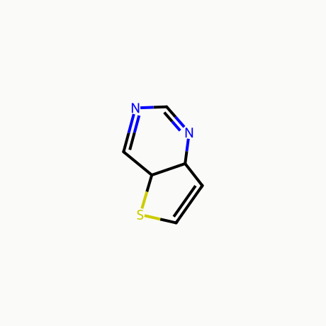 C1=CC2N=CN=CC2S1